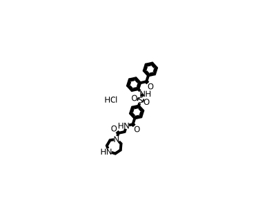 Cl.O=C(NCC(=O)N1CCCNCC1)c1ccc(S(=O)(=O)Nc2ccccc2C(=O)c2ccccc2)cc1